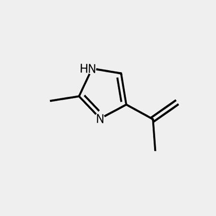 C=C(C)c1c[nH]c(C)n1